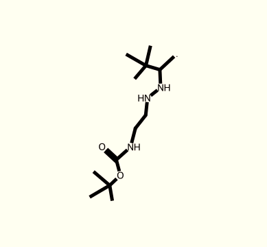 [CH2]C(NNCCNC(=O)OC(C)(C)C)C(C)(C)C